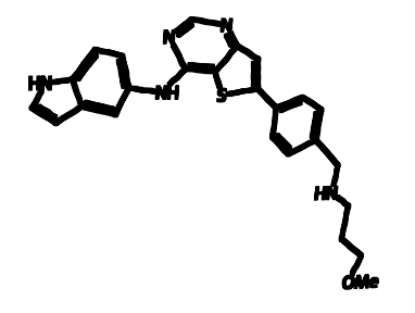 COCCCNCc1ccc(-c2cc3ncnc(Nc4ccc5[nH]ccc5c4)c3s2)cc1